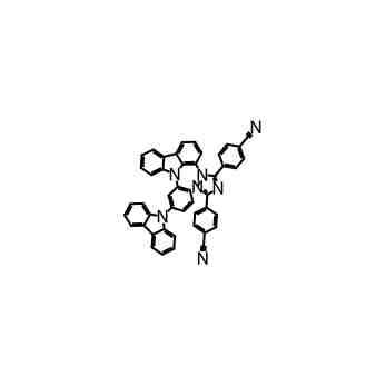 N#Cc1ccc(-c2nc(-c3ccc(C#N)cc3)n(-c3cccc4c5ccccc5n(-c5cccc(-n6c7ccccc7c7ccccc76)c5)c34)n2)cc1